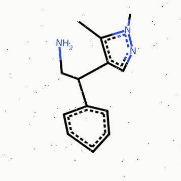 Cc1c(C(CN)c2ccccc2)cnn1C